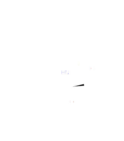 CO[C@@](C)(N[S+]([O-])C(C)(C)C)C(C)/C=C(\C)C1CC1